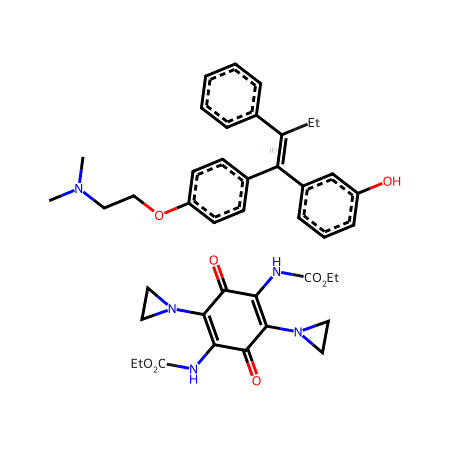 CC/C(=C(/c1ccc(OCCN(C)C)cc1)c1cccc(O)c1)c1ccccc1.CCOC(=O)NC1=C(N2CC2)C(=O)C(NC(=O)OCC)=C(N2CC2)C1=O